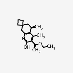 C=C(OCC)c1c(O)nc2c(c1C)C(=C)CC1(CCC1)C2